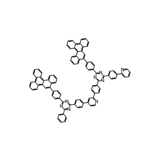 c1ccc(-c2nc(-c3ccc(-c4ccnc(-c5ccc(-c6nc(-c7ccc(-c8ccccn8)cc7)nc(-c7ccc(-c8cc9c%10ccccc%10c%10ccccc%10c9c9ccccc89)cc7)n6)cc5)c4)cc3)nc(-c3ccc(-c4cc5c6ccccc6c6ccccc6c5c5ccccc45)cc3)n2)cc1